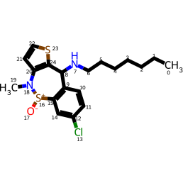 CCCCCCCNC1c2ccc(Cl)cc2[S+]([O-])N(C)c2ccsc21